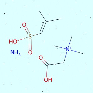 CC(C)=CS(=O)(=O)O.C[N+](C)(C)CC(=O)O.N